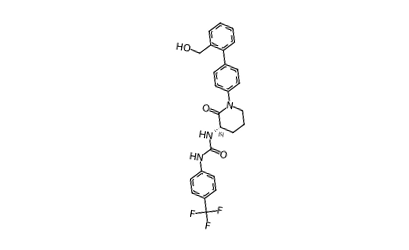 O=C(Nc1ccc(C(F)(F)F)cc1)N[C@H]1CCCN(c2ccc(-c3ccccc3CO)cc2)C1=O